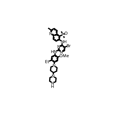 CCc1cc(Nc2ncc(Br)c(Nc3ccc4nc(C)ccc4c3P(C)(C)=O)n2)c(OC)cc1N1CCC(N2CCNCC2)CC1